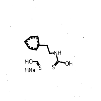 OC(=S)NCCc1ccccc1.OC=S.[NaH]